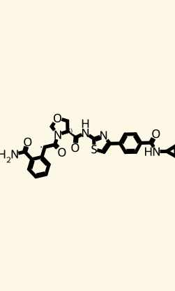 NC(=O)c1ccccc1[CH]C(=O)N1COC[C@H]1C(=O)Nc1nc(-c2ccc(C(=O)NC3CC3)cc2)cs1